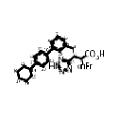 CCC[C@H](C(=O)O)[C@H](Cc1cccc(-c2ccc(C3CCCCC3)cc2)c1)c1nn[nH]n1